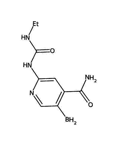 Bc1cnc(NC(=O)NCC)cc1C(N)=O